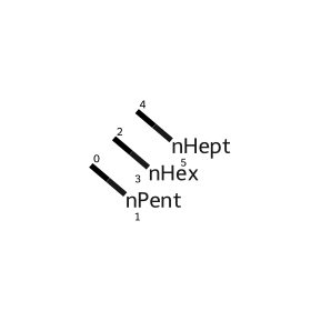 CCCCCC.CCCCCCC.CCCCCCCC